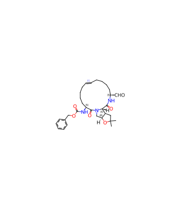 CC1(C)CC2[C@H](CN3C(=O)[C@@H](NC(=O)OCc4ccccc4)CCCC/C=C/CCCC[C@@H](C=O)NC(=O)[C@H]23)O1